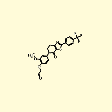 COc1cc(N2CCc3nc(-c4ccc(C(F)(F)F)cc4)sc3C2=O)ccc1OCC=O